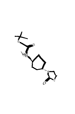 CC(C)(C)OC(=O)N[C@H]1CC[C@H](N2CCOC2=O)CC1